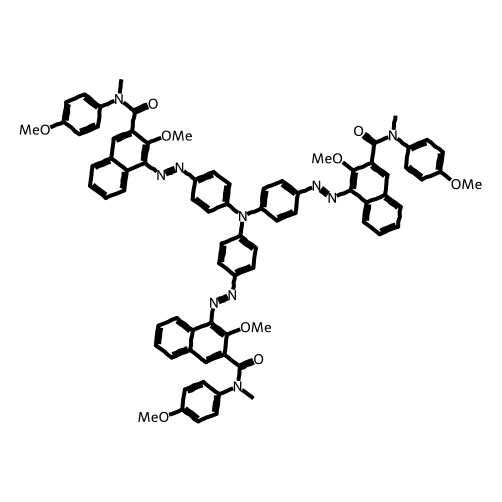 COc1ccc(N(C)C(=O)c2cc3ccccc3c(N=Nc3ccc(N(c4ccc(N=Nc5c(OC)c(C(=O)N(C)c6ccc(OC)cc6)cc6ccccc56)cc4)c4ccc(N=Nc5c(OC)c(C(=O)N(C)c6ccc(OC)cc6)cc6ccccc56)cc4)cc3)c2OC)cc1